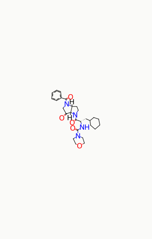 O=C1CN(C(=O)c2ccccc2)[C@@H]2CCN(C(=O)[C@H](CC3CCCCC3)NC(=O)N3CCOCC3)[C@H]12